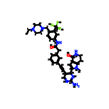 CCN1CCN(Cc2ccc(NC(=O)Cc3cccc(C#Cc4cnc(N)nc4-c4cc5c(n4C)CCNC5=O)c3)cc2C(F)(F)F)CC1